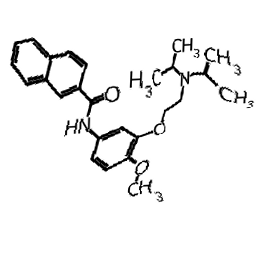 COc1ccc(NC(=O)c2ccc3ccccc3c2)cc1OCCN(C(C)C)C(C)C